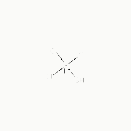 S[PH](Cl)(Cl)Cl